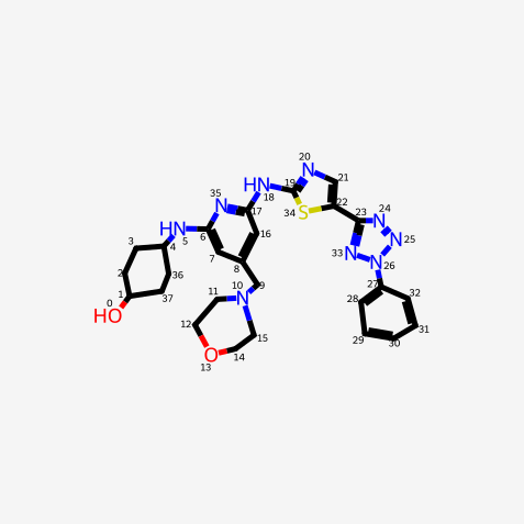 OC1CCC(Nc2cc(CN3CCOCC3)cc(Nc3ncc(-c4nnn(-c5ccccc5)n4)s3)n2)CC1